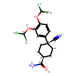 N#C[C@]1(c2ccc(OC(F)F)c(OC(F)F)c2)CC[C@H](C(N)=O)CC1